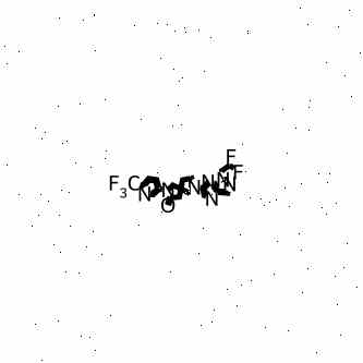 O=C1CC2(CCN(c3cnc4cnn(CC(F)F)c4n3)C2)CN1c1ccc(C(F)(F)F)nc1